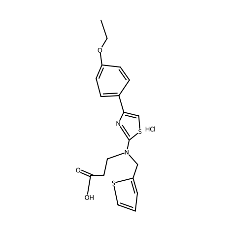 CCOc1ccc(-c2csc(N(CCC(=O)O)Cc3cccs3)n2)cc1.Cl